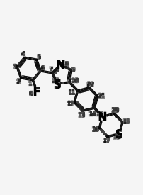 Fc1ccccc1-c1ncc(-c2ccc(N3CCSCC3)cc2)s1